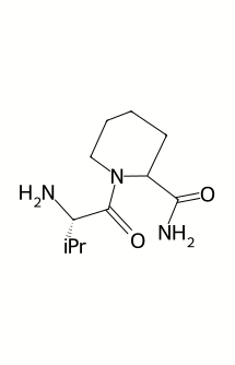 CC(C)[C@H](N)C(=O)N1CCCCC1C(N)=O